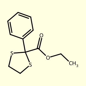 CCOC(=O)C1(c2ccccc2)SCCS1